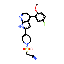 COc1ccc(F)cc1-c1ccnc2[nH]c(C3=CCN(S(=O)(=O)CC#N)CC3)cc12